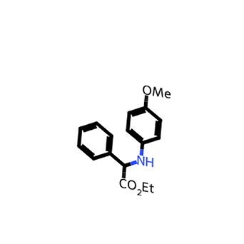 CCOC(=O)C(Nc1ccc(OC)cc1)c1ccccc1